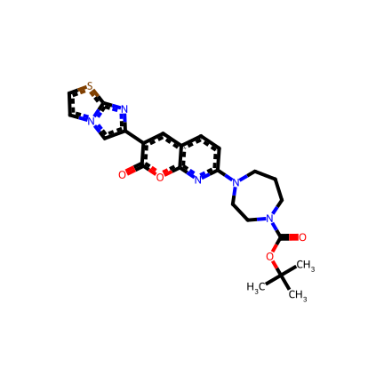 CC(C)(C)OC(=O)N1CCCN(c2ccc3cc(-c4cn5ccsc5n4)c(=O)oc3n2)CC1